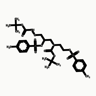 Cc1ccc(S(=O)(=O)OCCN(CC(CONC(=O)OC(C)(C)C)OS(=O)(=O)c2ccc(C)cc2)C(=O)OC(C)(C)C)cc1